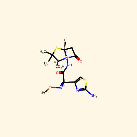 CC(C)O/N=C(\C(=O)N[N+]12C(=O)C[C@H]1SC(C)(C)[C@@H]2C(=O)O)c1csc(N)n1